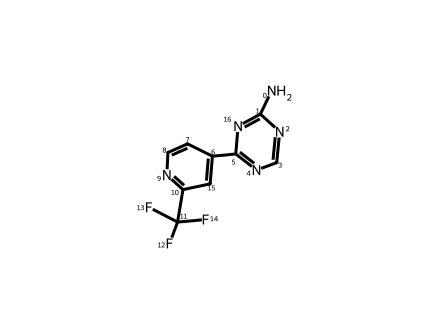 Nc1ncnc(-c2ccnc(C(F)(F)F)c2)n1